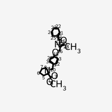 COC(=O)C1CCCCN1Cc1ccc(OCc2nc(-c3ccccc3)oc2C)cc1